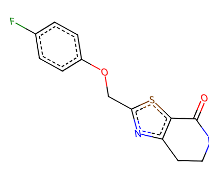 O=C1NCCc2nc(COc3ccc(F)cc3)sc21